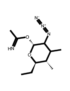 CC[C@H]1O[C@H](OC(C)=N)C(N=[N+]=[N-])C(C)[C@@H]1C